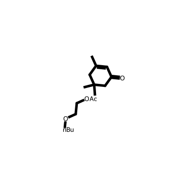 CC1=CC(=O)CC(C)(C)C1.CCCCOCCOC(C)=O